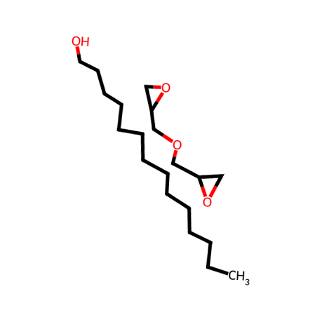 C(OCC1CO1)C1CO1.CCCCCCCCCCCCCCO